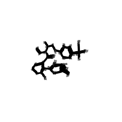 CCN(C(=O)c1cccc(F)c1-c1nnc(C)o1)C(C)COc1ccc(C(F)(F)F)cn1